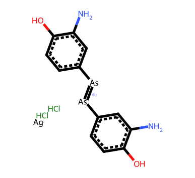 Cl.Cl.Nc1cc(/[As]=[As]/c2ccc(O)c(N)c2)ccc1O.[Ag]